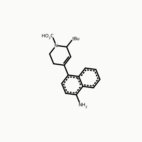 CC(C)(C)C1C=C(c2ccc(N)c3ccccc23)CCN1C(=O)O